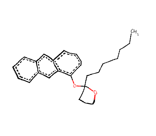 CCCCCCCC1(Oc2cccc3cc4ccccc4cc23)CCO1